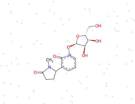 CN1C(=O)CCC1c1cccn(O[C@H]2O[C@H](CO)[C@@H](O)[C@H]2O)c1=O